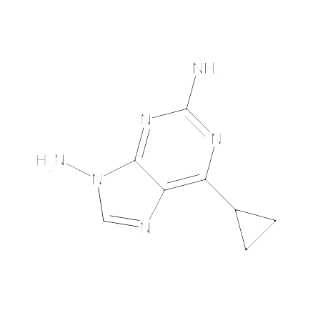 Nc1nc(C2CC2)c2ncn(N)c2n1